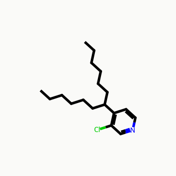 CCCCCCC(CCCCCC)c1ccncc1Cl